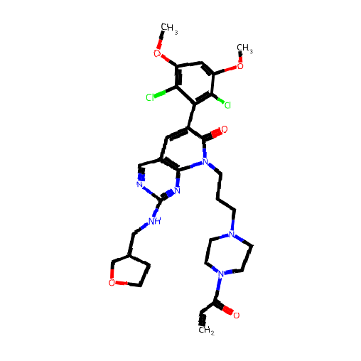 C=CC(=O)N1CCN(CCCn2c(=O)c(-c3c(Cl)c(OC)cc(OC)c3Cl)cc3cnc(NCC4CCOC4)nc32)CC1